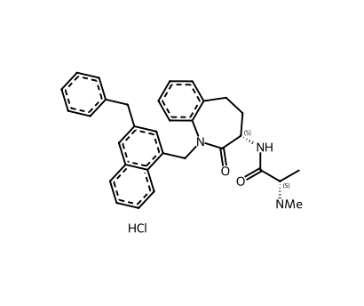 CN[C@@H](C)C(=O)N[C@H]1CCc2ccccc2N(Cc2cc(Cc3ccccc3)cc3ccccc23)C1=O.Cl